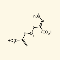 C=C(COCC(=CCCCC)C(=O)O)C(=O)O